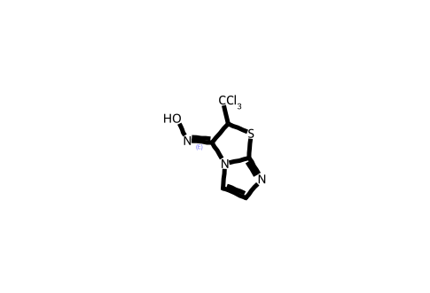 O/N=C1\C(C(Cl)(Cl)Cl)Sc2nccn21